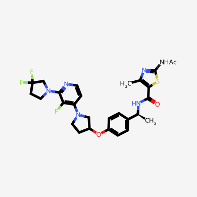 CC(=O)Nc1nc(C)c(C(=O)N[C@@H](C)c2ccc(OC3CCN(c4ccnc(N5CCC(F)(F)C5)c4F)C3)cc2)s1